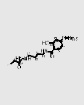 [N-]=[N+]=Nc1ccc(C(=O)NCCCCNNC(=O)CI)c(O)c1